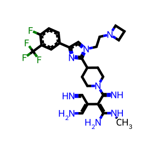 CN/C(N)=C(C(=N)N1CCC(c2nc(-c3ccc(F)c(C(F)(F)F)c3)cn2CCN2CCC2)CC1)/C(C=N)=C/N